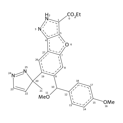 CCOC(=O)c1[nH]nc2c1oc1cc(C(OC)c3ccc(OC)cc3)c(C3(C)C=CN=N3)cc12